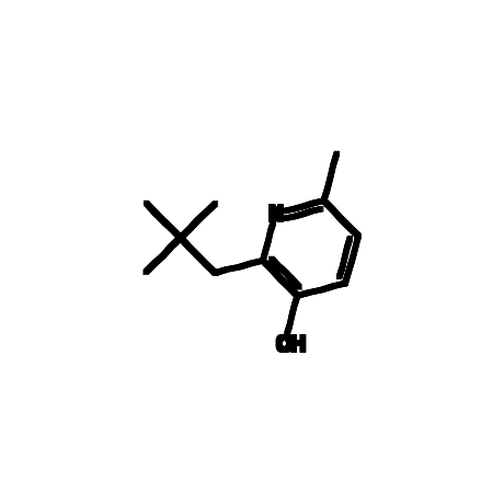 Cc1ccc(O)c(CC(C)(C)C)n1